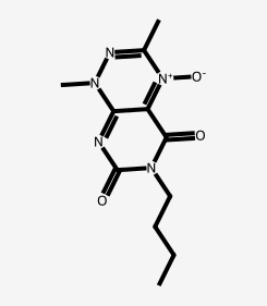 CCCCn1c(=O)nc2n(C)nc(C)[n+]([O-])c-2c1=O